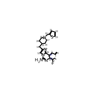 C=C/C=c1\c(=C(/C)F)nc(N)n2cc(CC3CCN(Cc4cccs4)CC3)nc12